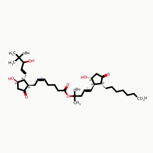 CCCCC(C)(C/C=C/[C@H]1[C@H](O)CC(=O)[C@@H]1CCCCCCC(=O)O)OC(=O)CCC/C=C\C[C@H]1C(=O)C[C@@H](O)[C@@H]1C=CC(O)C(C)(C)CCCC